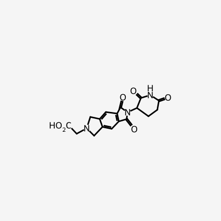 O=C(O)CN1Cc2cc3c(cc2C1)C(=O)N(C1CCC(=O)NC1=O)C3=O